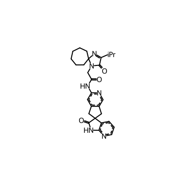 CC(C)C1=NC2(CCCCCC2)N(CC(=O)Nc2cc3c(cn2)CC2(C3)C(=O)Nc3ncccc32)C1=O